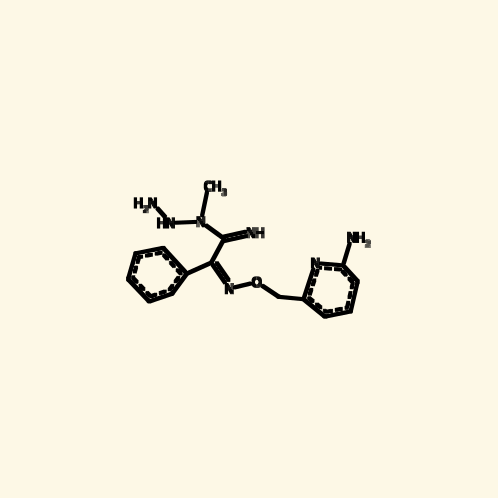 CN(NN)C(=N)/C(=N\OCc1cccc(N)n1)c1ccccc1